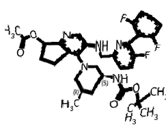 CC(=O)OC1CCc2c1ncc(NCc1ccc(F)c(-c3c(F)cccc3F)n1)c2N1C[C@H](C)C[C@H](NC(=O)OC(C)(C)C)C1